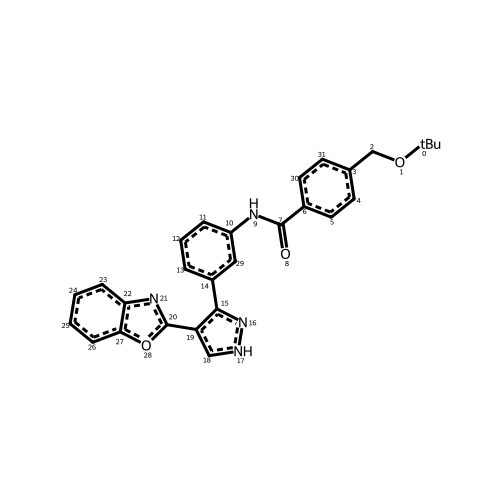 CC(C)(C)OCc1ccc(C(=O)Nc2cccc(-c3n[nH]cc3-c3nc4ccccc4o3)c2)cc1